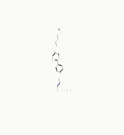 CCCCCCC/C=C/COc1ccc(-c2ncc(OCCCCOCCC)cn2)cc1